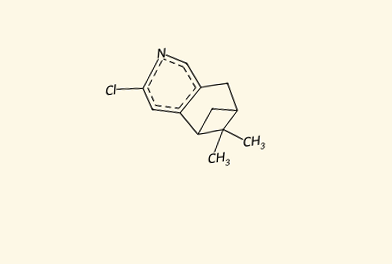 CC1(C)C2Cc3cnc(Cl)cc3C1C2